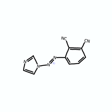 N#Cc1cccc(/N=N/n2ccnc2)c1C#N